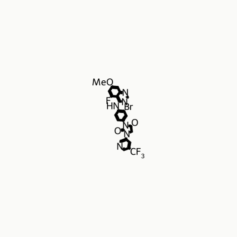 COc1cc(F)c2c(Nc3ccc(N4C(=O)CN(c5cncc(C(F)(F)F)c5)C4=O)cc3Br)ncnc2c1